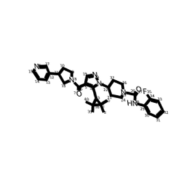 CC1(C)C(c2c(C(=O)N3CCC(c4cccnc4)C3)cnn2C2CCN(C(=O)Nc3ccccc3F)CC2)C1(C)C